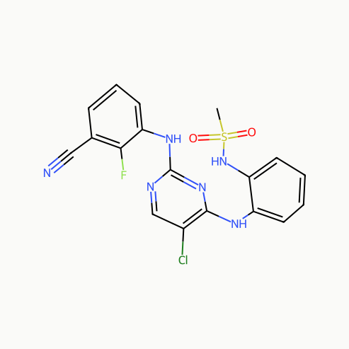 CS(=O)(=O)Nc1ccccc1Nc1nc(Nc2cccc(C#N)c2F)ncc1Cl